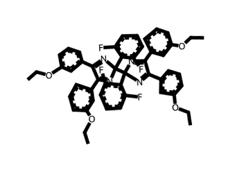 CCOc1cccc(C2=NC(c3c(F)cccc3F)(C3(c4c(F)cccc4F)N=C(c4cccc(OCC)c4)C(c4cccc(OCC)c4)=N3)N=C2c2cccc(OCC)c2)c1